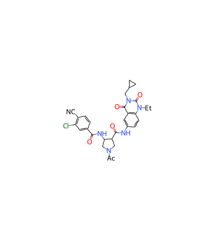 CCn1c(=O)n(CC2CC2)c(=O)c2cc(NC(=O)C3CN(C(C)=O)CC3NC(=O)c3ccc(C#N)c(Cl)c3)ccc21